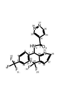 O=C(NC(c1ccc(C(F)(F)F)cc1)c1ncccc1C(F)(F)F)c1ccnnc1